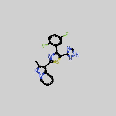 Cc1nn2ccccc2c1-c1nc(-c2cc(F)ccc2F)c(-c2nc[nH]n2)s1